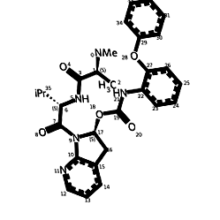 CN[C@@H](C)C(=O)N[C@H](C(=O)N1c2ncccc2C[C@@H]1OC(=O)Nc1ccccc1Oc1ccccc1)C(C)C